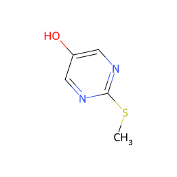 CSc1ncc(O)cn1